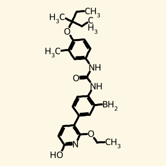 Bc1cc(-c2ccc(O)nc2OCC)ccc1NC(=O)Nc1ccc(OC(C)(CC)CC)c(C)c1